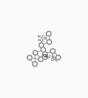 C[Si]1(C)c2ccccc2-c2cccc(-c3cccc4c(-c5cccc6c5-c5c(ccc7ccccc57)C65c6ccccc6-c6ccccc65)c5cccc(-c6cccc7c6[Si](C)(C)c6ccccc6-7)c5cc34)c21